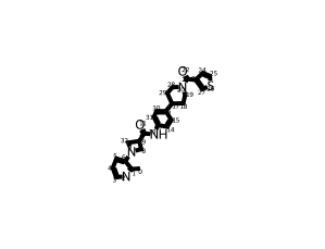 Cc1ncccc1N1CC(C(=O)Nc2ccc(C3CCN(C(=O)c4ccsc4)CC3)cc2)C1